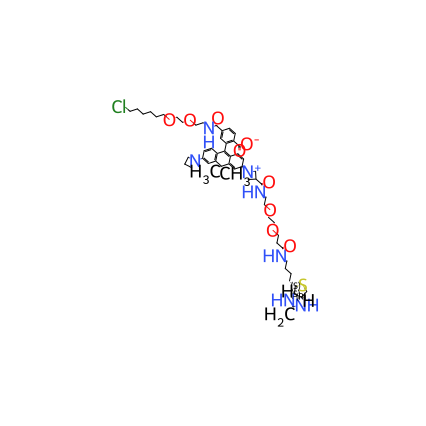 C=C1N[C@H]2[C@H](CS[C@H]2CCCCNC(=O)CCOCCOCCNC(=O)C2C[N+](=C3C=CC4=C(c5cc(C(=O)NCCOCCOCCCCCCCl)ccc5C(=O)[O-])c5ccc(N6CCC6)cc5C(C)(C)C4=C3)C2)N1